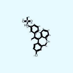 C/C(=C1\c2ccc(Cl)cc2COc2ccccc21)c1cccc(NS(C)(=O)=O)c1